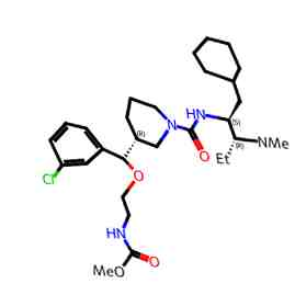 CC[C@@H](NC)[C@H](CC1CCCCC1)NC(=O)N1CCC[C@@H](C(OCCNC(=O)OC)c2cccc(Cl)c2)C1